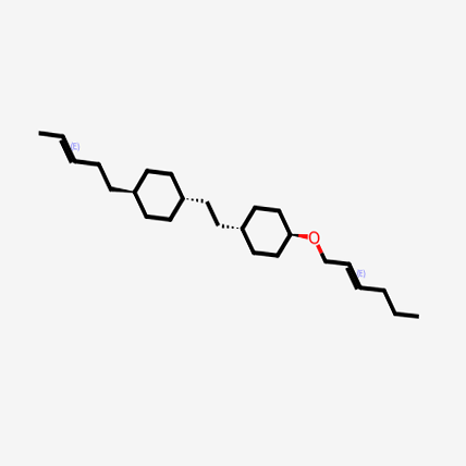 C/C=C/CC[C@H]1CC[C@H](CC[C@H]2CC[C@H](OC/C=C/CCC)CC2)CC1